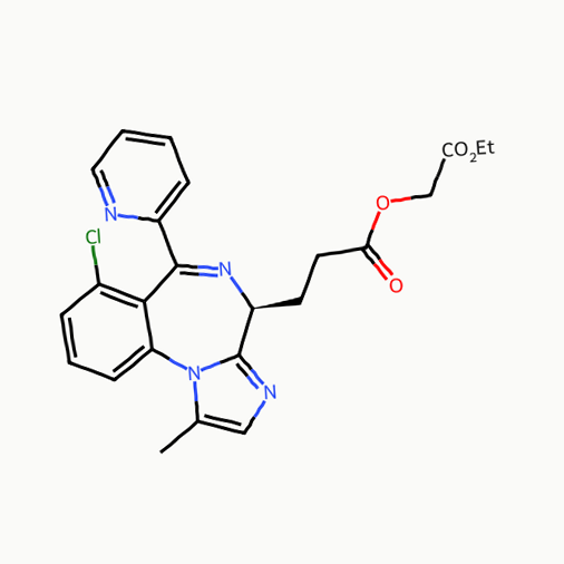 CCOC(=O)COC(=O)CC[C@@H]1N=C(c2ccccn2)c2c(Cl)cccc2-n2c(C)cnc21